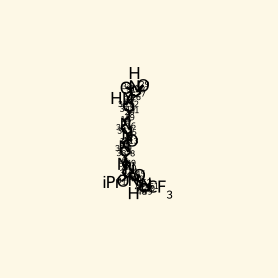 CC(C)Oc1cc2nc(C3CCN(CC(=O)N4CCN(CCc5ccc(NC6CCC(=O)NC6=O)cc5)CC4)CC3)cn2cc1NC(=O)c1cccc(C(F)(F)F)n1